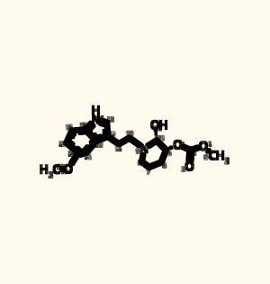 COC(=O)O[C@@H]1CCCN(CCc2c[nH]c3ccc(OC)cc23)[C@@H]1O